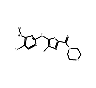 CCNc1nc(Nc2sc(C(=O)N3CCOCC3)nc2C)ncc1C(F)(F)F